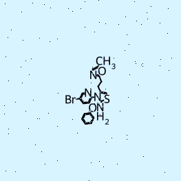 Cc1cnc(CCC2=CSC(N)N2c2ncc(Br)cc2Oc2ccccc2)o1